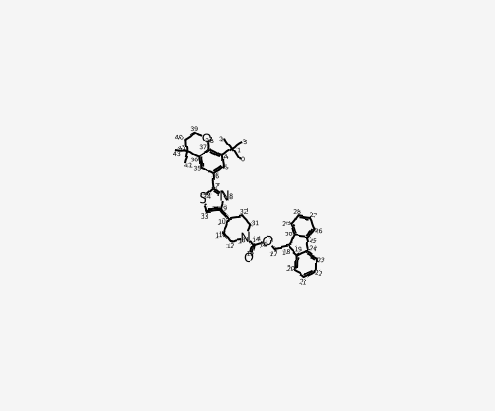 CC(C)(C)c1cc(-c2nc(C3CCN(C(=O)OCC4c5ccccc5-c5ccccc54)CC3)cs2)cc2c1OCCC2(C)C